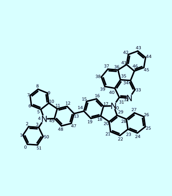 c1ccc(-n2c3ccccc3c3cc(-c4ccc5c(c4)c4ccc6ccccc6c4n5-c4ncc5c6c(cccc46)-c4ccccc4-5)ccc32)cc1